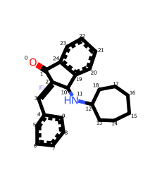 O=C1/C(=C/c2ccccc2)C(NC2CCCCCC2)c2ccccc21